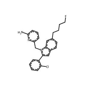 Nc1cccc(Cn2c(-c3ccccc3Cl)cc3ccc(CCCCF)cc32)n1